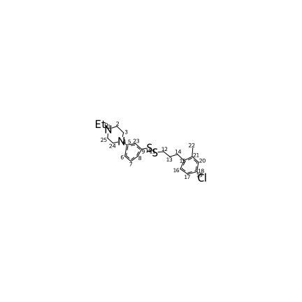 CCN1CCN(c2cccc(SSCCCc3ccc(Cl)cc3C)c2)CC1